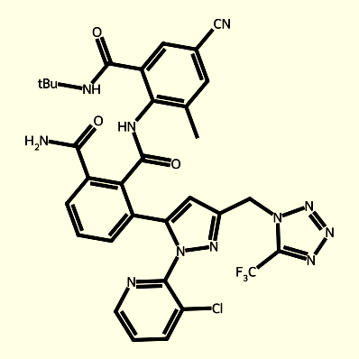 Cc1cc(C#N)cc(C(=O)NC(C)(C)C)c1NC(=O)c1c(C(N)=O)cccc1-c1cc(Cn2nnnc2C(F)(F)F)nn1-c1ncccc1Cl